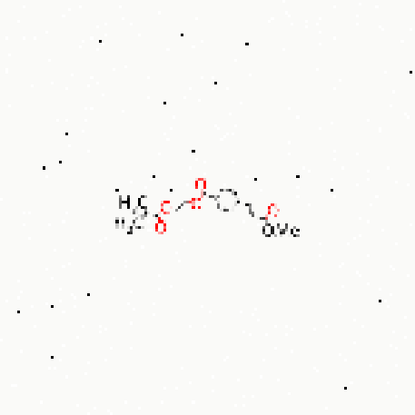 C=C(C)C(=O)OCCOC(=O)c1ccc(C=CC(=O)OC)cc1